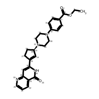 CCOC(=O)c1ccc(N2CCN([C@H]3C=C(c4cc5ncccc5c(=O)[nH]4)CC3)CC2)cc1